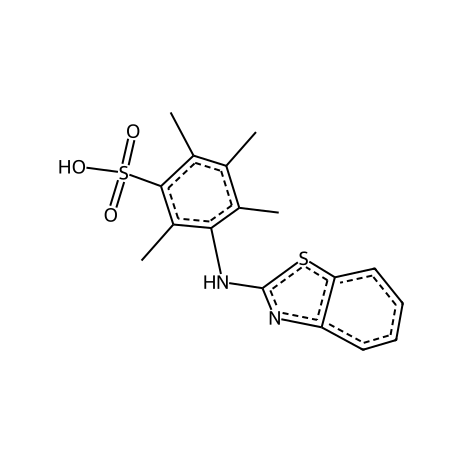 Cc1c(C)c(Nc2nc3ccccc3s2)c(C)c(S(=O)(=O)O)c1C